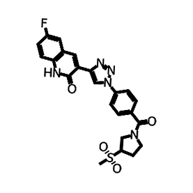 CS(=O)(=O)C1CCN(C(=O)c2ccc(-n3cc(-c4cc5cc(F)ccc5[nH]c4=O)nn3)cc2)C1